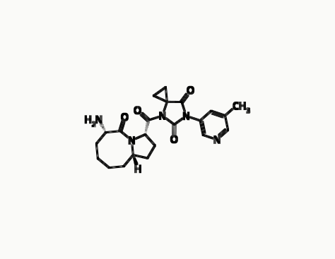 Cc1cncc(N2C(=O)N(C(=O)[C@@H]3CC[C@@H]4CCCC[C@H](N)C(=O)N43)C3(CC3)C2=O)c1